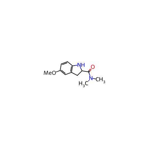 COc1ccc2c(c1)CC(C(=O)N(C)C)N2